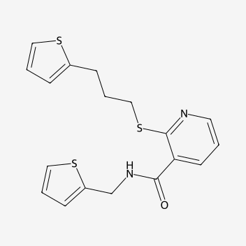 O=C(NCc1cccs1)c1cccnc1SCCCc1cccs1